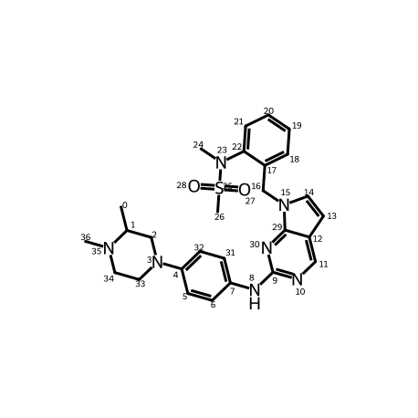 CC1CN(c2ccc(Nc3ncc4ccn(Cc5ccccc5N(C)S(C)(=O)=O)c4n3)cc2)CCN1C